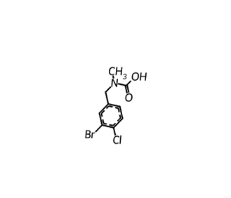 CN(Cc1ccc(Cl)c(Br)c1)C(=O)O